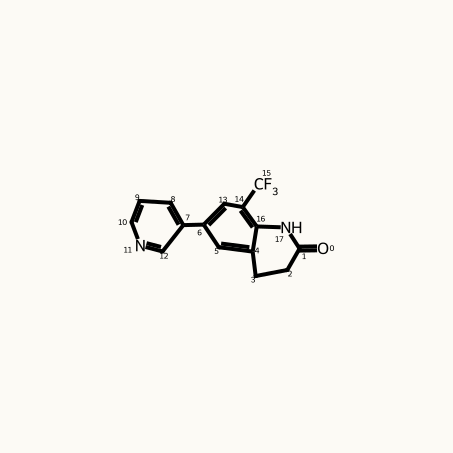 O=C1CCc2cc(-c3cccnc3)cc(C(F)(F)F)c2N1